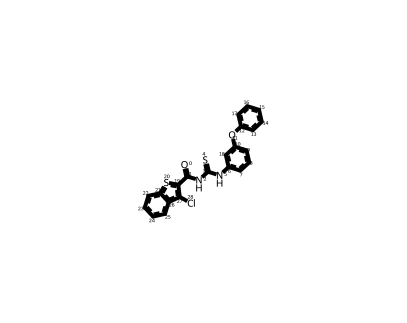 O=C(NC(=S)Nc1cccc(Oc2ccccc2)c1)c1sc2ccccc2c1Cl